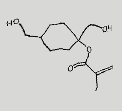 C=C(C)C(=O)OC1(CO)CCC(CO)CC1